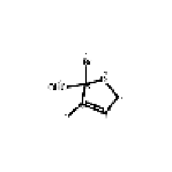 CC1=CCOC1(Br)C=O